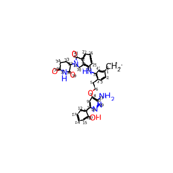 [CH2]c1ccc(CCOc2cc(-c3ccccc3O)nnc2N)c(Nc2cccc3c2CN(C2CCC(=O)NC2=O)C3=O)c1